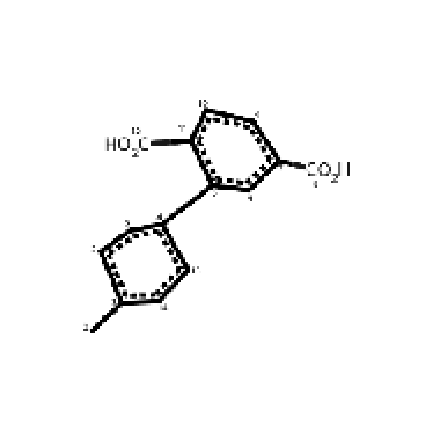 Cc1ccc(-c2cc(C(=O)O)ccc2C(=O)O)cc1